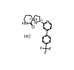 Cl.O=C1NCCC[C@]12CC[C@@H](c1cc(-c3ccc(C(F)(F)F)cc3)ccn1)N2